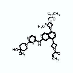 C=CC(=O)N1CC(c2ccc(N3C[C@H](CS(C)(=O)=O)[C@H]3C)c3cnc(Nc4ccnc(N5CCC(C)(O)CC5)n4)cc23)C1